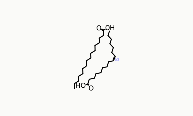 CCCCCC/C=C\CCCCCCCC(=O)O.CCCCCCCCCCCCCCCC(=O)O